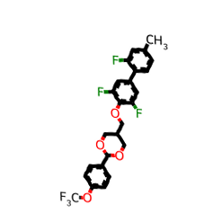 Cc1ccc(-c2cc(F)c(OCC3COC(c4ccc(OC(F)(F)F)cc4)OC3)c(F)c2)c(F)c1